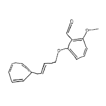 COc1cccc(OC/C=C/c2ccccc2)c1C=O